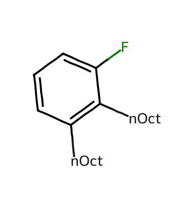 CCCCCCCCc1cccc(F)c1CCCCCCCC